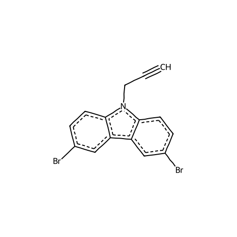 C#CCn1c2ccc(Br)cc2c2cc(Br)ccc21